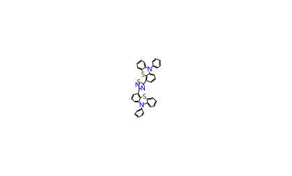 c1ccc(N2c3ccccc3Sc3c(-c4nsc(-c5cccc6c5Sc5ccccc5N6c5ccccc5)n4)cccc32)cc1